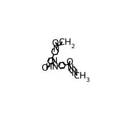 C=CC(=O)N1CCC(c2ccc(C=O)c(Nc3ccc(C(=O)N4CCN(C)CC4)cc3)n2)CC1